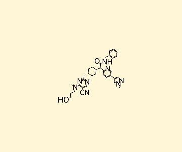 CN(CCCO)c1nc(C[C@H]2CC[C@H](C(C(=O)NCc3ccccc3)c3ccc(-c4cnn(C)c4)cn3)CC2)ncc1C#N